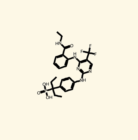 CCNC(=O)c1ccccc1Nc1nc(Nc2ccc(C(CC)(CC)P(=O)(O)O)cc2)ncc1C(F)(F)F